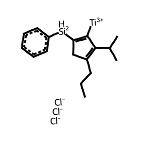 CCCC1=C(C(C)C)[C]([Ti+3])=C([SiH2]c2ccccc2)C1.[Cl-].[Cl-].[Cl-]